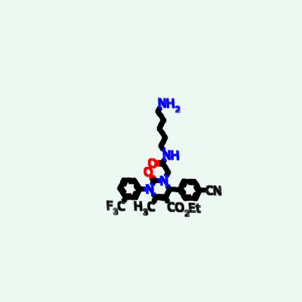 CCOC(=O)C1=C(C)N(c2cccc(C(F)(F)F)c2)C(=O)N(CC(=O)NCCCCCN)C1c1ccc(C#N)cc1